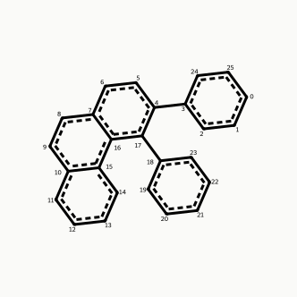 c1ccc(-c2ccc3ccc4ccccc4c3c2-c2ccccc2)cc1